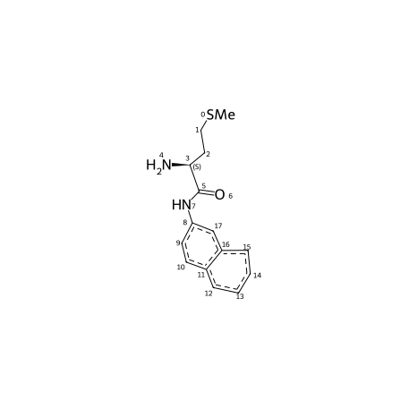 CSCC[C@H](N)C(=O)Nc1ccc2ccccc2c1